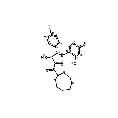 C[C@@H]1C(C(=O)N2CCCCCCC2)=NN(c2ccc(Cl)cc2Cl)[C@H]1c1ccc(Cl)cc1